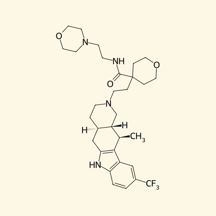 C[C@H]1c2c([nH]c3ccc(C(F)(F)F)cc23)C[C@H]2CCN(CCC3(C(=O)NCCN4CCOCC4)CCOCC3)C[C@@H]21